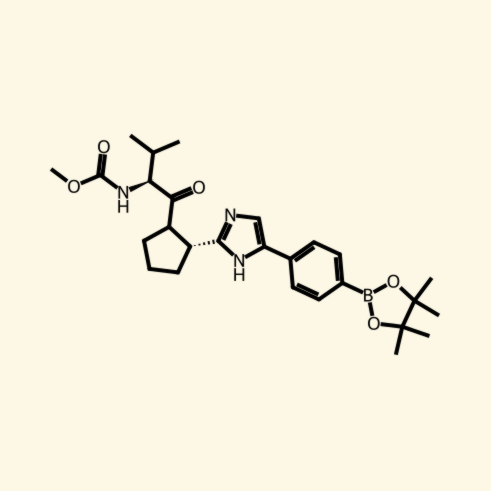 COC(=O)N[C@H](C(=O)C1CCC[C@H]1c1ncc(-c2ccc(B3OC(C)(C)C(C)(C)O3)cc2)[nH]1)C(C)C